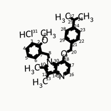 COc1ccccc1Cn1c(C)c(C)c2nccc(OCc3ccc(C(C)C)cc3)c21.Cl